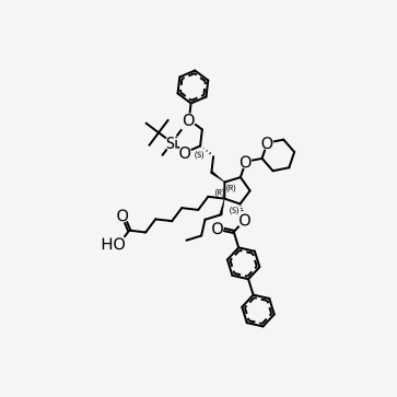 CCCC[C@]1(CCCCCCC(=O)O)[C@@H](OC(=O)c2ccc(-c3ccccc3)cc2)CC(OC2CCCCO2)[C@@H]1CC[C@@H](COc1ccccc1)O[Si](C)(C)C(C)(C)C